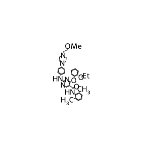 CCOc1ccccc1Oc1nc(Nc2ccc(N3CCN(CCOC)CC3)cc2)ncc1C(=O)Nc1c(C)cccc1C